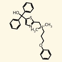 C[N+](C)(CCCOc1ccccc1)Cc1ncc(C(O)(c2ccccc2)c2ccccc2)s1